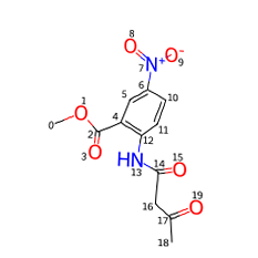 COC(=O)c1cc([N+](=O)[O-])ccc1NC(=O)CC(C)=O